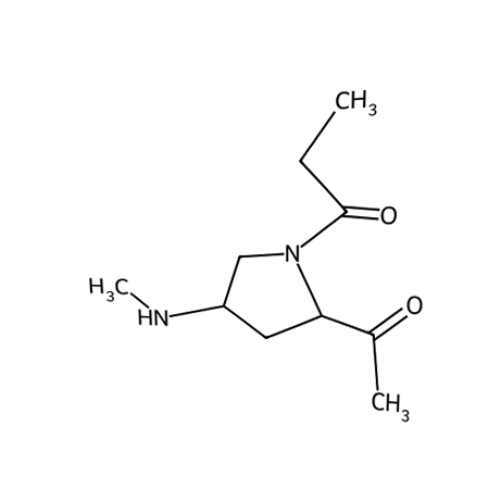 CCC(=O)N1CC(NC)CC1C(C)=O